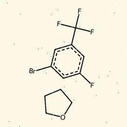 C1CCOC1.Fc1cc(Br)cc(C(F)(F)F)c1